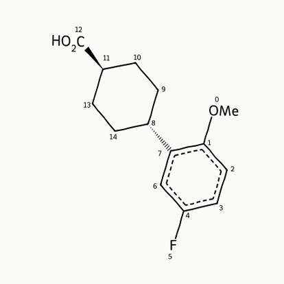 COc1ccc(F)cc1[C@H]1CC[C@H](C(=O)O)CC1